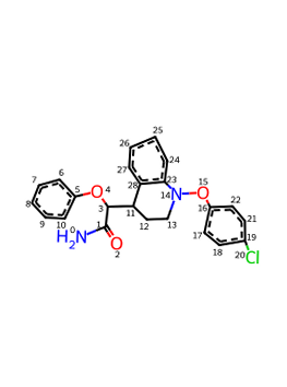 NC(=O)C(Oc1ccccc1)C1CCN(Oc2ccc(Cl)cc2)c2ccccc21